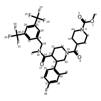 COC(=O)N1CCC(C(=O)N2CCC(C(=O)N(C)Cc3cc(C(F)(F)F)cc(C(F)(F)F)c3)C(c3ccc(F)cc3C)C2)CC1